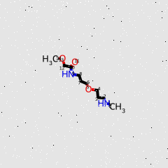 CNCCCOCCCNC(=O)COC